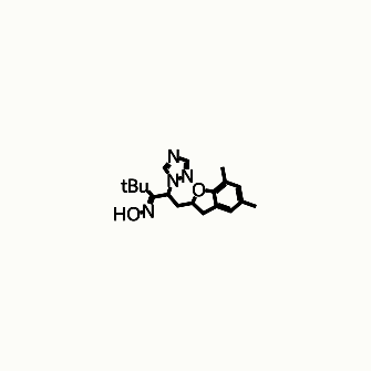 Cc1cc(C)c2c(c1)CC(CC(C(=NO)C(C)(C)C)n1cncn1)O2